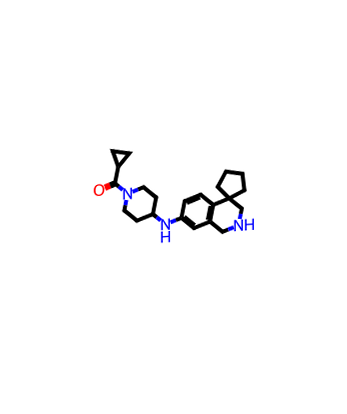 O=C(C1CC1)N1CCC(Nc2ccc3c(c2)CNCC32CCCC2)CC1